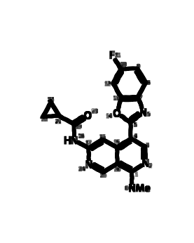 CNc1ncc(-c2nc3ccc(F)cc3o2)c2cc(NC(=O)C3CC3)ncc12